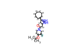 CC(C)O[C@H]1CCN(C(=O)CC2CC(C3CCCCCCC3)NN2)C[C@H]1F